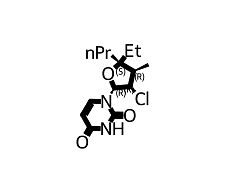 CCC[C@]1(CC)O[C@@H](n2ccc(=O)[nH]c2=O)[C@H](Cl)[C@@H]1C